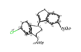 CNC1CC(C2=CCc3ccc(OC)cc32)c2ccc(Cl)cc21